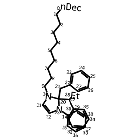 CCCCCCCCCCCCCCCCCCCN1C=CN(c2ccccc2)C1(Cc1ccccc1)C(CC)c1ccccc1